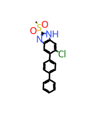 CS(=O)(=O)c1nc2cc(-c3ccc(-c4ccccc4)cc3)c(Cl)cc2[nH]1